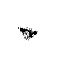 COc1cc(C(=O)NCC(O)(c2cc3c(c(-c4ccc(F)cc4)n2)OC[C@]3(C)C(N)=O)C(F)(F)F)cc2cc(Cl)cnc12